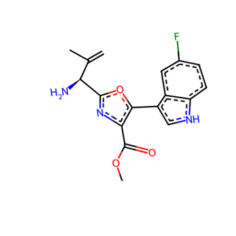 C=C(C)[C@H](N)c1nc(C(=O)OC)c(-c2c[nH]c3ccc(F)cc23)o1